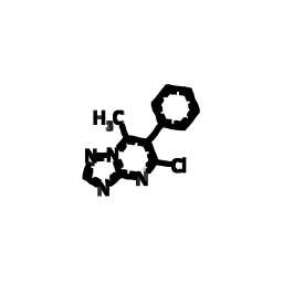 Cc1c(-c2ccccc2)c(Cl)nc2ncnn12